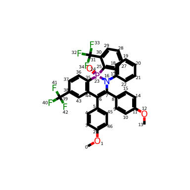 COc1ccc(C2=C(c3ccc(OC)cc3)N(c3ccccc3)P(=O)(c3ccccc3C(F)(F)F)c3ccc(C(F)(F)F)cc32)cc1